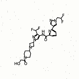 O=C(Nc1cn(C2CN(C3CCN(C(=O)CO)CC3)C2)nc1C(F)F)c1cccc(-c2cnn(CC(F)F)c2)n1